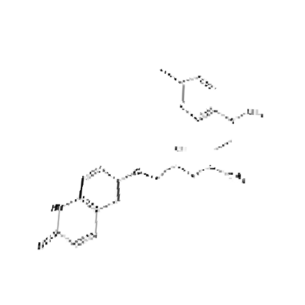 CN(CCN(C)c1ccc(F)cc1)CC(O)COc1ccc2[nH]c(=O)ccc2c1